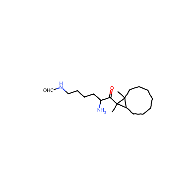 CC12CCCCCCCC1C2(C)C(=O)C(N)CCCCNC=O